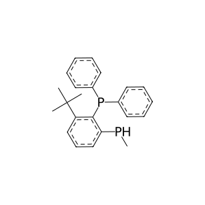 CPc1cccc(C(C)(C)C)c1P(c1ccccc1)c1ccccc1